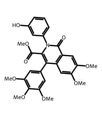 COC(=O)c1c(-c2cc(OC)c(OC)c(OC)c2)c2cc(OC)c(OC)cc2c(=O)n1-c1cccc(O)c1